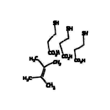 CC(C)=C(C)C.O=C(O)CCS.O=C(O)CCS.O=C(O)CCS